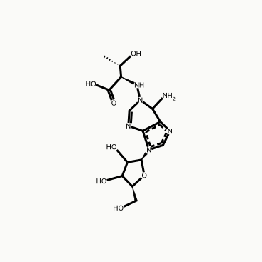 C[C@H](O)[C@@H](NN1C=Nc2c(ncn2[C@H]2O[C@@H](CO)C(O)C2O)C1N)C(=O)O